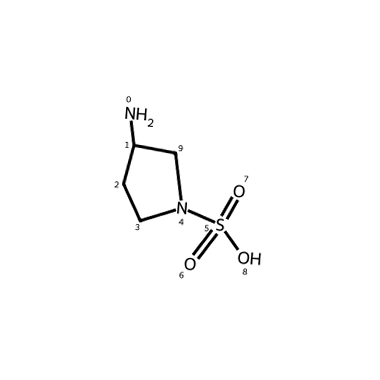 NC1CCN(S(=O)(=O)O)C1